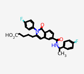 CC(NC(=O)c1ccc2c(=O)n(-c3ccc(F)cc3)c(CCCCC(=O)O)cc2c1)c1ccc(F)cc1